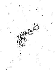 CCOC(=O)C(C)N[C@H](Cc1ccc(-c2cccc(Cl)c2)cc1)C(=O)Nc1cc(O)no1